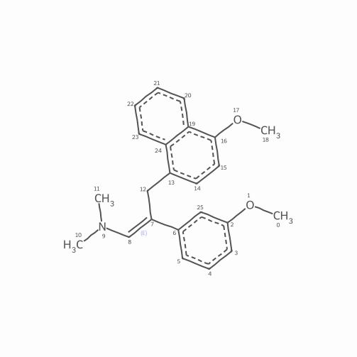 COc1cccc(/C(=C/N(C)C)Cc2ccc(OC)c3ccccc23)c1